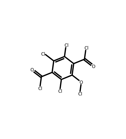 O=C(Cl)c1c(Cl)c(Cl)c(C(=O)Cl)c(OCl)c1Cl